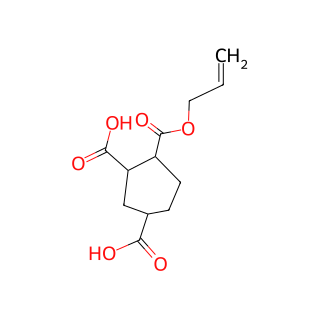 C=CCOC(=O)C1CCC(C(=O)O)CC1C(=O)O